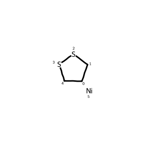 C1CSSC1.[Ni]